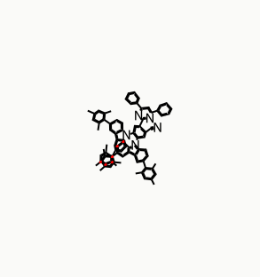 Cc1cc(C)c(-c2ccc3c(c2)c2cc(-c4c(C)cc(C)cc4C)ccc2n3-c2cc(C#N)c(-c3nc(-c4ccccc4)cc(-c4ccccc4)n3)cc2-n2c3ccc(-c4c(C)cc(C)cc4C)cc3c3cc(-c4c(C)cc(C)cc4C)ccc32)c(C)c1